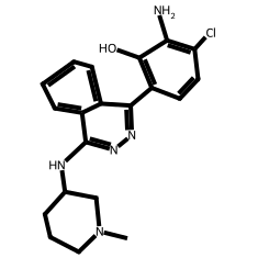 CN1CCCC(Nc2nnc(-c3ccc(Cl)c(N)c3O)c3ccccc23)C1